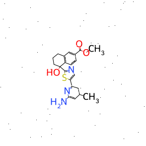 COC(=O)c1ccc2c(c1)CCCC2(O)c1ncc(C2=NC(N)=CC(C)C2)s1